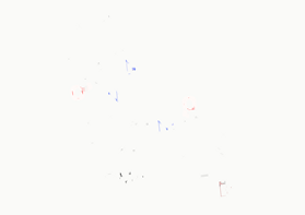 COc1ccc(-n2c(CCN3Cc4cc(Br)ccc4C3=O)nc3ccccc3c2=O)cc1